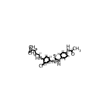 CC(=O)Nc1ccc(NC(=S)Nc2ccc(NCCCN(C)C)c(Cl)c2)cc1